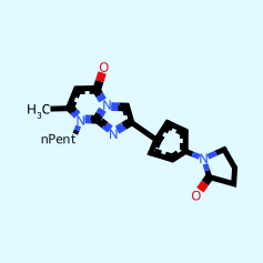 CCCCCn1c(C)cc(=O)n2cc(-c3ccc(N4CCCC4=O)cc3)nc12